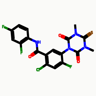 Cn1c(=S)n(C)c(=O)n(-c2cc(C(=O)Nc3ccc(F)cc3F)c(Cl)cc2F)c1=O